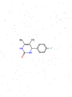 CCC(C)C1=C(C#N)C(c2ccc(F)cc2)NC(=O)N1